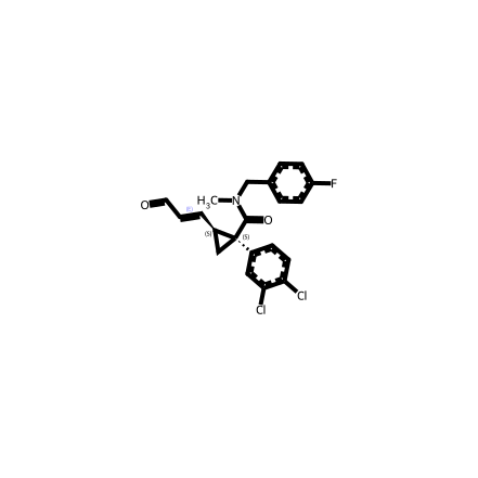 CN(Cc1ccc(F)cc1)C(=O)[C@@]1(c2ccc(Cl)c(Cl)c2)C[C@H]1/C=C/C=O